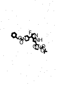 CC(C)(C)OC(=O)N1CCOC(c2cc3c(C4=CCN(C(=O)OCc5ccccc5)CC4)c(F)cnc3[nH]2)C1